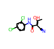 CC(O)=C(C#N)C(=O)Nc1ccc(Cl)cc1Cl